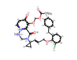 COC(=O)OCOc1c2n(ccc1=O)NCN(C1(/C=C/COc3c(F)cccc3Cc3ccccc3)CC1)C2=O